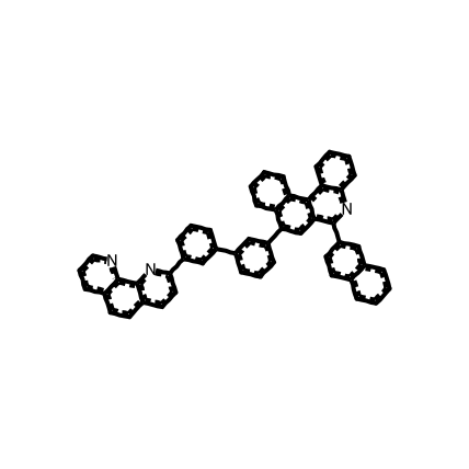 c1cc(-c2cccc(-c3cc4c(-c5ccc6ccccc6c5)nc5ccccc5c4c4ccccc34)c2)cc(-c2ccc3ccc4cccnc4c3n2)c1